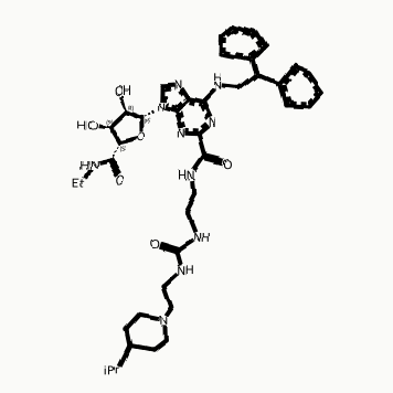 CCNC(=O)[C@H]1O[C@@H](n2cnc3c(NCC(c4ccccc4)c4ccccc4)nc(C(=O)NCCNC(=O)NCCN4CCC(C(C)C)CC4)nc32)[C@H](O)[C@@H]1O